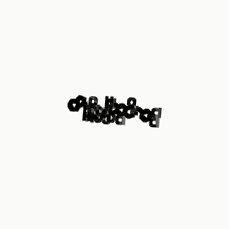 O=C(NC[C@H](NC(=O)c1c(Cl)cc2c(c1Cl)CCN(Cc1ccc(Cl)c(Cl)c1)C2=O)C(=O)O)N[C@@H]1CCc2ccccc21